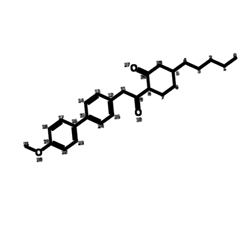 CCCCCC1CCC(C(=O)Cc2ccc(-c3ccc(OC)cc3)cc2)C(=O)C1